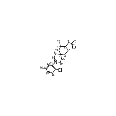 CC(=O)CC1CCC2(CCN(c3cc(C)ccc3Cl)CC2)CC1C